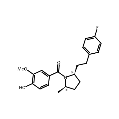 COc1cc(C(=O)N2[C@@H](CCc3ccc(F)cc3)CC[C@H]2C)ccc1O